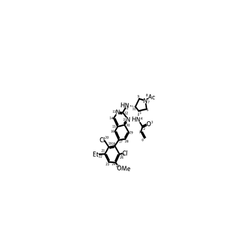 C=CC(=O)N[C@H]1CN(C(C)=O)C[C@H]1Nc1ncc2cc(-c3c(Cl)c(CC)cc(OC)c3Cl)ccc2n1